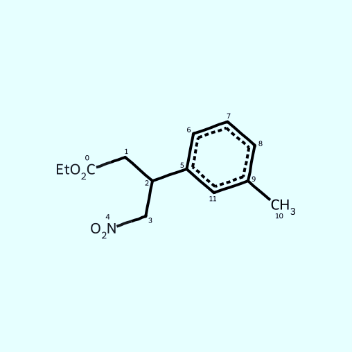 CCOC(=O)CC(C[N+](=O)[O-])c1cccc(C)c1